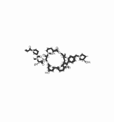 C=CC(=O)N1CC[C@H](C(=O)N(C)[C@H](C(=O)N[C@H]2Cc3cc(O)cc(c3)-c3ccc4c(c3)c(c(-c3ccc(CN5CC[C@@H](O)C5)cc3)n4CC)CC(C)(C)COC(=O)[C@@H]3CCCN(N3)C2=O)C(C)C)C1